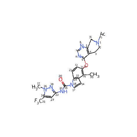 CC(=O)N1CCc2c(ncnc2Oc2ccc3c(ccn3C(=O)Nc3cc(C(F)(F)F)n(C)n3)c2C)C1